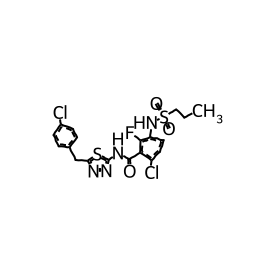 CCCS(=O)(=O)Nc1ccc(Cl)c(C(=O)Nc2nnc(Cc3ccc(Cl)cc3)s2)c1F